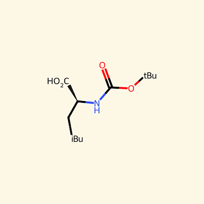 CCC(C)C[C@H](NC(=O)OC(C)(C)C)C(=O)O